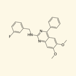 COc1cc2nc(NCc3cccc(F)c3)nc(-c3ccccc3)c2cc1OC